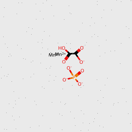 O=C([O-])C(=O)O.O=P([O-])([O-])[O-].[Mn+2].[Mn+2]